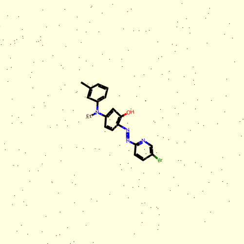 CCN(c1cccc(C)c1)c1ccc(/N=N/c2ccc(Br)cn2)c(O)c1